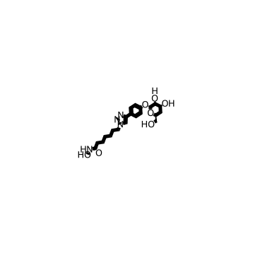 O=C(CCCCCCn1cc(-c2ccc(O[C@H]3O[C@H](CO)C[C@H](O)[C@@H]3O)cc2)nn1)NO